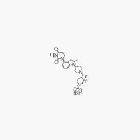 Cc1cc2c(N3CCC(=O)NC3=O)cccc2n1C1CCN(C[C@@H]2CCN(C(=O)OC(C)(C)C)CC2(F)F)CC1